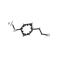 FC(F)(F)Oc1ccc(CCCl)cc1